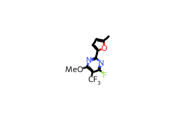 COc1nc(-c2ccc(C)o2)nc(F)c1C(F)(F)F